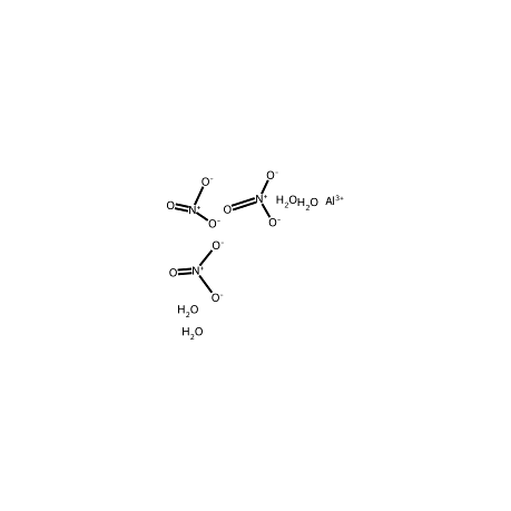 O.O.O.O.O=[N+]([O-])[O-].O=[N+]([O-])[O-].O=[N+]([O-])[O-].[Al+3]